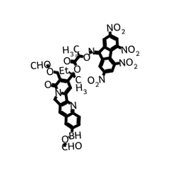 CC[C@](C)(OC(=O)[C@@H](C)ON=C1c2cc([N+](=O)[O-])cc([N+](=O)[O-])c2-c2c1cc([N+](=O)[O-])cc2[N+](=O)[O-])c1cc2n(c(=O)c1COC=O)Cc1cc3cc(BOC=O)ccc3nc1-2